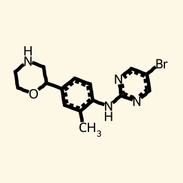 Cc1cc(C2CNCCO2)ccc1Nc1ncc(Br)cn1